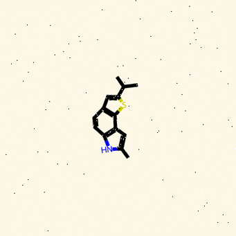 Cc1cc2c(ccc3cc(C(C)C)sc32)[nH]1